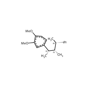 COc1ccc([C@@H](C)[C@@H](C)[C@H](C)C(C)C)cc1OC